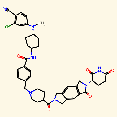 CN(c1ccc(C#N)c(Cl)c1)[C@H]1CC[C@H](NC(=O)c2ccc(CN3CCC(C(=O)N4Cc5cc6c(cc5C4)C(=O)N([C@H]4CCC(=O)NC4=O)C6)CC3)cc2)CC1